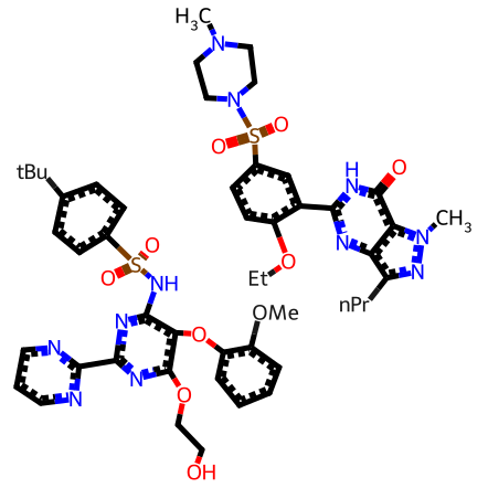 CCCc1nn(C)c2c(=O)[nH]c(-c3cc(S(=O)(=O)N4CCN(C)CC4)ccc3OCC)nc12.COc1ccccc1Oc1c(NS(=O)(=O)c2ccc(C(C)(C)C)cc2)nc(-c2ncccn2)nc1OCCO